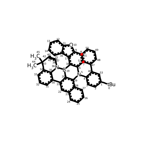 CC(C)(C)c1ccc(N2c3ccc4oc5ccccc5c4c3B3c4c(cc5ccccc5c42)-c2cccc4c2N3c2ccccc2C4(C)C)c(-c2ccccc2)c1